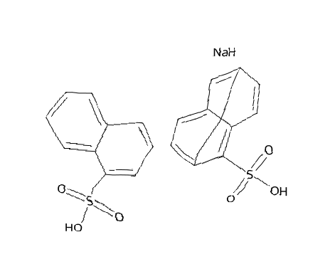 O=S(=O)(O)c1c2ccc3cc2ccc13.O=S(=O)(O)c1cccc2ccccc12.[NaH]